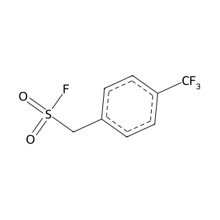 O=S(=O)(F)Cc1ccc(C(F)(F)F)cc1